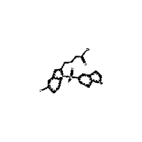 O=C(O)CCCc1cc2cc(Cl)ccc2n1S(=O)(=O)c1ccc2[nH]ccc2c1